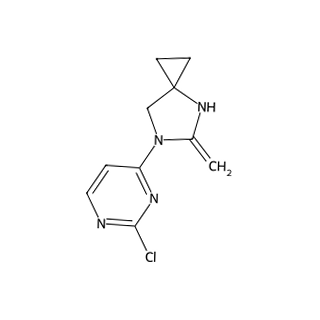 C=C1NC2(CC2)CN1c1ccnc(Cl)n1